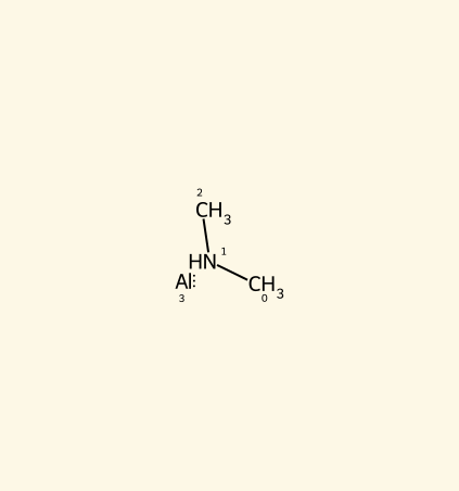 CNC.[Al]